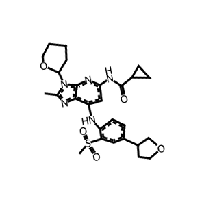 Cc1nc2c(Nc3ccc(C4CCOC4)cc3S(C)(=O)=O)cc(NC(=O)C3CC3)nc2n1C1CCCCO1